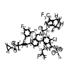 CC(C)(C#Cc1ccc(-c2ccc(Cl)c3c(NS(C)(=O)=O)nn(CC(F)F)c23)c([C@H](Cc2cc(F)cc(F)c2)NC(=O)Cn2nc(C(F)(F)F)c3c2C(F)(F)[C@@H]2C[C@H]32)n1)S(=O)(=O)C1CC1